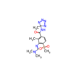 Cc1c(C(=O)NC2(C)N=NN=N2)ccc(S(C)(=O)=O)c1N=CN(C)C